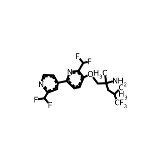 CC(CC(C)(N)COc1ccc(-c2ccnc(C(F)F)c2)nc1C(F)F)C(F)(F)F